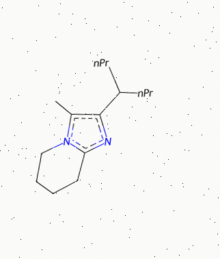 CCCC(CCC)c1nc2n(c1C)CCCC2